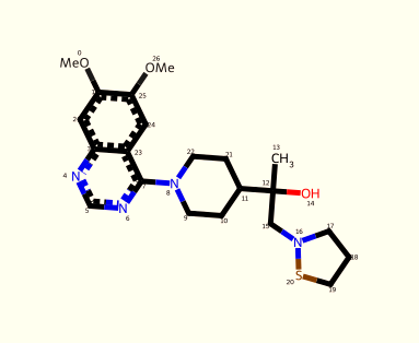 COc1cc2ncnc(N3CCC(C(C)(O)CN4CCCS4)CC3)c2cc1OC